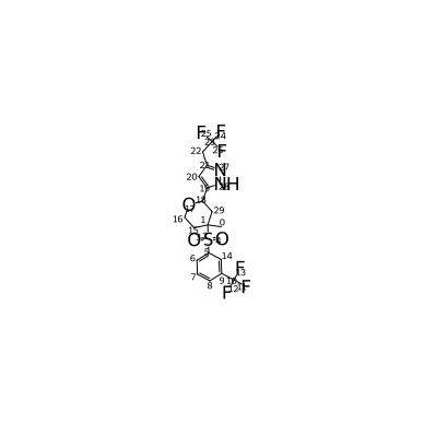 CC1(S(=O)(=O)c2cccc(C(F)(F)F)c2)CCOC(c2cc(CC(F)(F)F)n[nH]2)C1